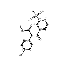 COC(=O)C(C(=O)c1ccnc(S(C)(=O)=O)n1)c1ccc(F)cc1